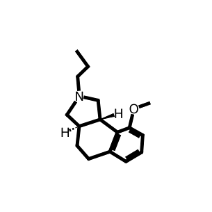 CCCN1C[C@@H]2CCc3cccc(OC)c3[C@H]2C1